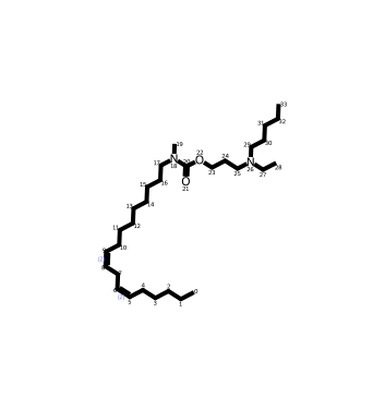 CCCCC/C=C\C/C=C\CCCCCCCCN(C)C(=O)OCCCN(CC)CCCCC